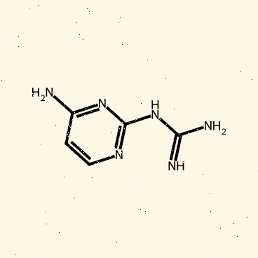 N=C(N)Nc1nccc(N)n1